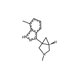 Cc1cccc2c(C34C[C@@H]3CN(C)C4)n[nH]c12